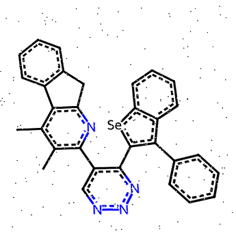 Cc1c(-c2cnnnc2-c2[se]c3ccccc3c2-c2ccccc2)nc2c(c1C)-c1ccccc1C2